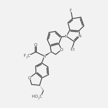 CCc1nc2ccc(F)cc2n1-c1cccc2c1OC[C@H]2N(C(=O)C(F)(F)F)c1ccc2c(c1)OC[C@H]2CC(=O)O